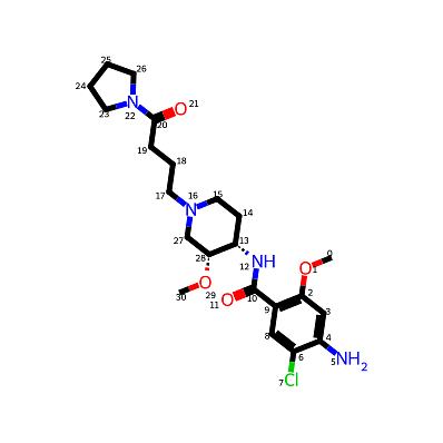 COc1cc(N)c(Cl)cc1C(=O)N[C@H]1CCN(CCCC(=O)N2CCCC2)C[C@H]1OC